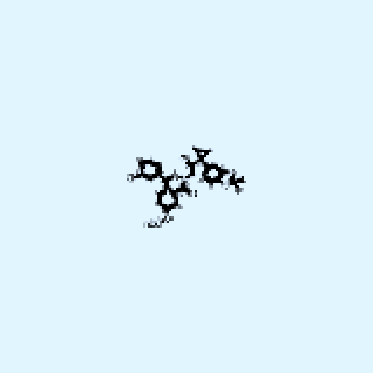 CCCCOc1ccc2c(-c3cccc(Cl)c3)nn(CC(=O)C3(c4ccc5c(c4)OC(F)(F)O5)CC3)c(=O)c2c1